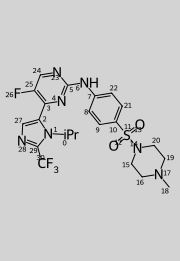 CC(C)n1c(-c2nc(Nc3ccc(S(=O)(=O)N4CCN(C)CC4)cc3)ncc2F)cnc1C(F)(F)F